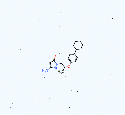 CC(Cn1[nH]c(N)cc1=O)Oc1ccc(C2CCCCC2)cc1